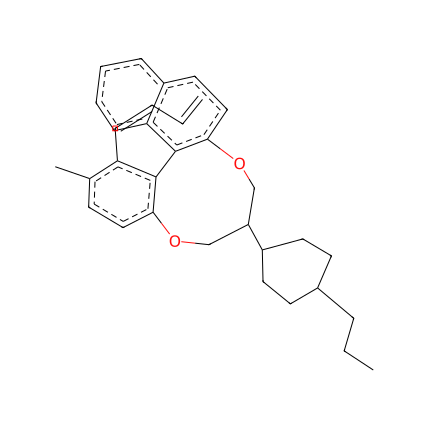 C=C/C=C\c1c(C)ccc2c1-c1c(ccc3ccccc13)OCC(C1CCC(CCC)CC1)CO2